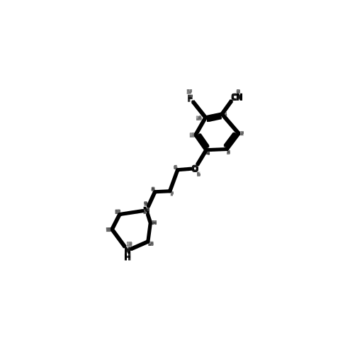 N#Cc1ccc(OCCCN2CCNCC2)cc1F